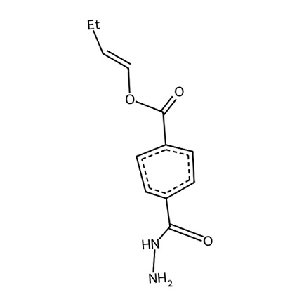 CCC=COC(=O)c1ccc(C(=O)NN)cc1